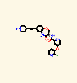 CN1C(=O)[C@@H](NC(=O)c2cc(Oc3cccnc3F)ccn2)COc2ccc(C#CC3CCNCC3)cc21